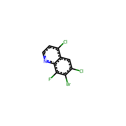 Fc1c(Br)c(Cl)cc2c(Cl)ccnc12